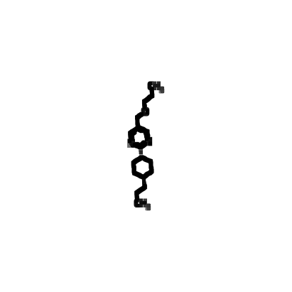 CCCOCc1cnc([C@H]2CC[C@H](CCC)CC2)nc1